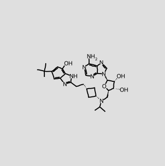 CC(C)N(C[C@H]1O[C@@H](n2cnc3c(N)ncnc32)[C@H](O)[C@@H]1O)[C@H]1C[C@@H](CCc2nc3cc(C(C)(C)C)cc(O)c3[nH]2)C1